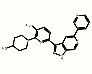 Cc1ccc(-c2n[nH]c3cnc(-c4cccnc4)cc23)nc1N1CCC(O)CC1